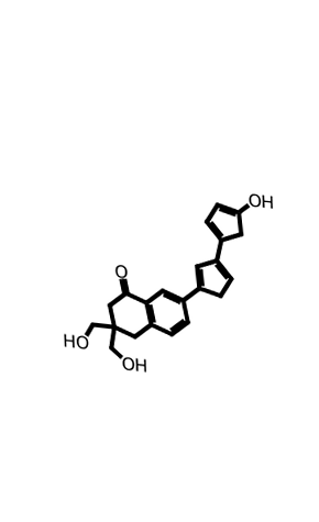 O=C1CC(CO)(CO)Cc2ccc(C3=CC(C4=CC=C(O)C4)=CC3)cc21